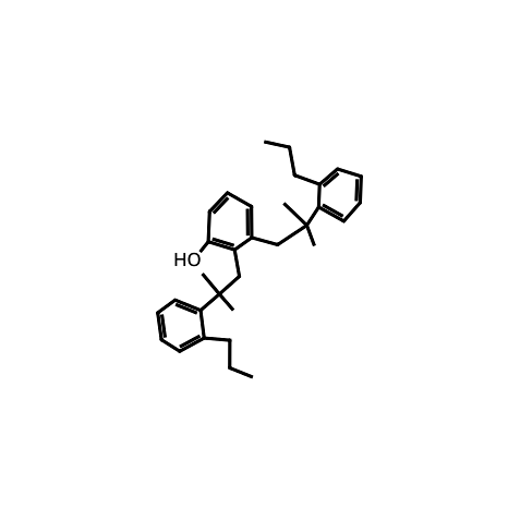 CCCc1ccccc1C(C)(C)Cc1cccc(O)c1CC(C)(C)c1ccccc1CCC